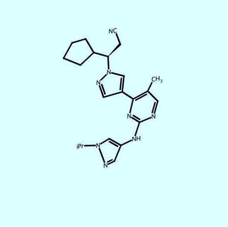 Cc1cnc(Nc2cnn(C(C)C)c2)nc1-c1cnn([C@H](CC#N)C2CCCC2)c1